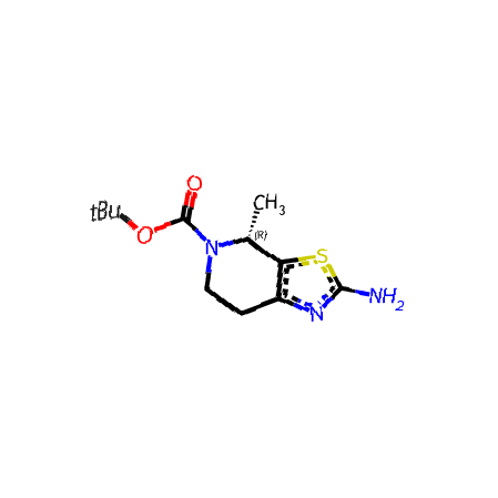 C[C@@H]1c2sc(N)nc2CCN1C(=O)OC(C)(C)C